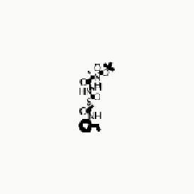 CCc1ccccc1NC(=O)CSC(=O)NNC(=O)[C@H](C)NC(=O)OC(C)(C)C